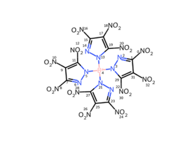 O=[N+]([O-])c1nn([B-](n2nc([N+](=O)[O-])c([N+](=O)[O-])c2[N+](=O)[O-])(n2nc([N+](=O)[O-])c([N+](=O)[O-])c2[N+](=O)[O-])n2nc([N+](=O)[O-])c([N+](=O)[O-])c2[N+](=O)[O-])c([N+](=O)[O-])c1[N+](=O)[O-]